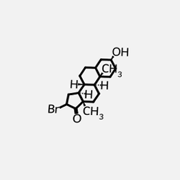 C[C@]12CC[C@H](O)CC1CC[C@@H]1[C@@H]2CC[C@]2(C)C(=O)C(Br)C[C@@H]12